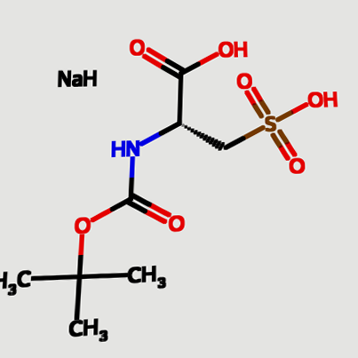 CC(C)(C)OC(=O)N[C@@H](CS(=O)(=O)O)C(=O)O.[NaH]